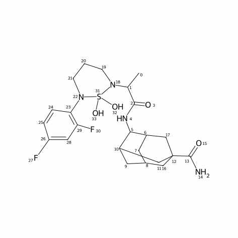 CC(C(=O)NC1C2CC3CC1CC(C(N)=O)(C3)C2)N1CCCN(c2ccc(F)cc2F)S1(O)O